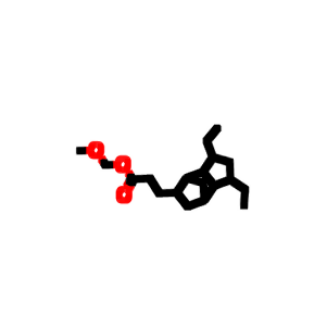 CCC1CC(CC)C2C3CC(CC3CCC(=O)OCOC)C12